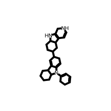 C1=CCCC(N2C3=CCC(C4CCC5NC6=C(C=CNC6)C5C4)C=C3C3CCCCC32)=C1